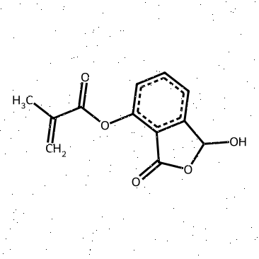 C=C(C)C(=O)Oc1cccc2c1C(=O)OC2O